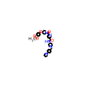 CS(=O)(=O)c1ccc(OC2CCN(C(=O)c3ccc(C(=O)NC4CCN(Cc5ccc(N6CCCC6)cc5)CC4)cn3)CC2)cc1